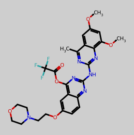 COc1cc(OC)c2nc(Nc3nc(OC(=O)C(F)(F)F)c4cc(OCCN5CCOCC5)ccc4n3)nc(C)c2c1